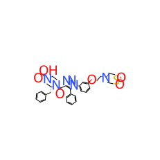 O=C(O)N1CCN(C(=O)c2nnn(-c3cccc(OCCN4CCS(=O)(=O)CC4)c3)c2-c2ccccc2)[C@H](Cc2ccccc2)C1